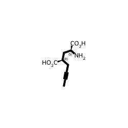 CC#CC[C@H](C[C@H](N)C(=O)O)C(=O)O